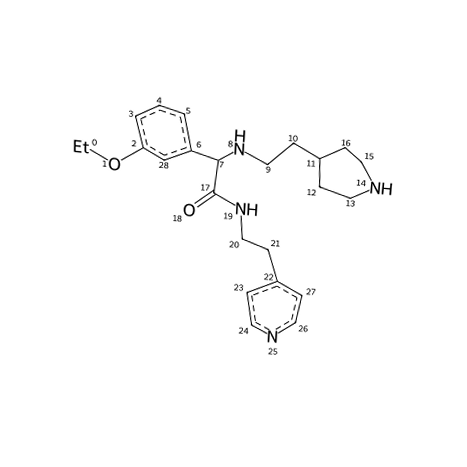 CCOc1cccc(C(NCCC2CCNCC2)C(=O)NCCc2ccncc2)c1